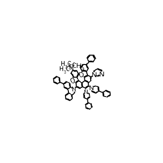 C[Si](C)(C)c1ccc2c(c1)oc1c(N3Cc4ccccc4-c4cc(-c5ccccc5)ccc43)cc3c(N4C=CC(c5ccccc5)=CC4)c(N4C=CC(c5ccccc5)=CC4)c4cc(N5C=NC=CC5)c5c6cc(-c7ccccc7)ccc6oc5c4c3c12